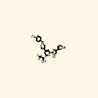 Clc1ccc(Cn2cc(-c3ccnc(-c4nc(C5CCNC5)c[nH]4)c3)cn2)cc1.O=C(O)C(F)(F)F